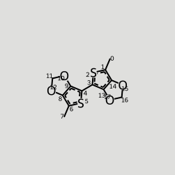 Cc1sc(-c2sc(C)c3c2OCO3)c2c1OCO2